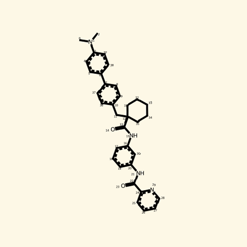 CN(C)c1ccc(-c2ccc(CC3(C(=O)Nc4cccc(NC(=O)c5ccccn5)c4)CCCCC3)cc2)cc1